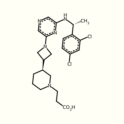 C[C@@H](Nc1cncc(N2CC([C@@H]3CCCN(CCC(=O)O)C3)C2)n1)c1ccc(Cl)cc1Cl